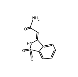 NC(=O)C=C1NS(=O)(=O)c2ccccc21